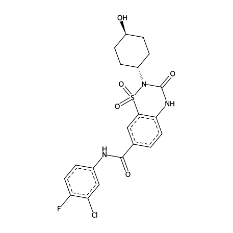 O=C(Nc1ccc(F)c(Cl)c1)c1ccc2c(c1)S(=O)(=O)N([C@H]1CC[C@H](O)CC1)C(=O)N2